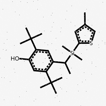 Cc1csc([Si](C)(C)C(C)c2cc(C(C)(C)C)c(O)cc2C(C)(C)C)c1